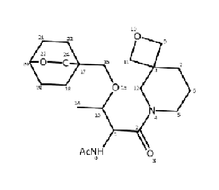 CC(=O)NC(C(=O)N1CCCC2(COC2)C1)C(C)OCC12CCC(CC1)OC2